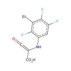 CCc1c(F)c(F)cc(NC(=C=O)C(=O)O)c1F